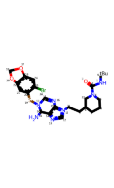 CC(C)(C)NC(=O)N1CCCC(CCn2cnc3c2N=CN(Sc2cc4c(cc2Br)OCO4)C3N)C1